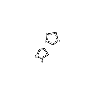 c1cn[nH]c1.c1nnco1